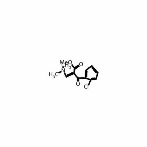 COC(=O)/C(=C\N(C)C)C(=O)c1ccccc1Cl